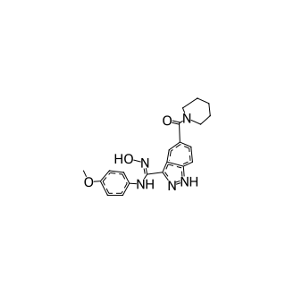 COc1ccc(NC(=NO)c2n[nH]c3ccc(C(=O)N4CCCCC4)cc23)cc1